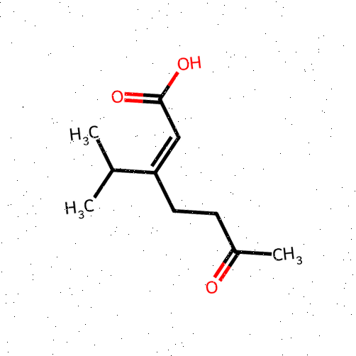 CC(=O)CCC(=CC(=O)O)C(C)C